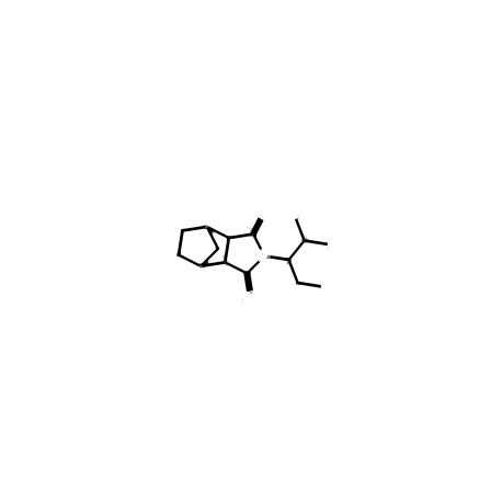 CCC(C(C)C)N1C(=O)C2C3CCC(C3)C2C1=O